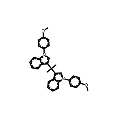 COc1ccc(-n2cc(C(C)(C)c3cn(-c4ccc(OC)cc4)c4ccccc34)c3ccccc32)cc1